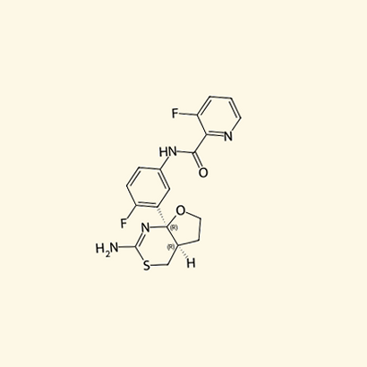 NC1=N[C@@]2(c3cc(NC(=O)c4ncccc4F)ccc3F)OCC[C@H]2CS1